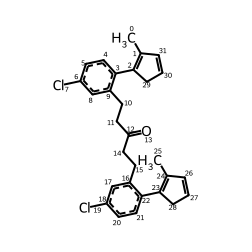 CC1=C(c2ccc(Cl)cc2CCC(=O)CCc2cc(Cl)ccc2C2=C(C)C=CC2)CC=C1